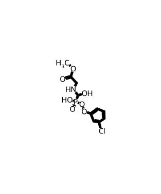 COC(=O)CNC(O)P(=O)(O)OOc1cccc(Cl)c1